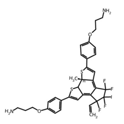 C=CC1(F)C2=C3C=C(c4ccc(OCCCN)cc4)SC3[C@]3(C)SC(c4ccc(OCCCN)cc4)=CC3=C2C(F)(F)C1(F)I